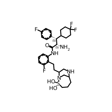 N[C@H](C(=O)Nc1cccc(F)c1CCC1CNC2CCCS(O)(O)N1C2)[C@H](c1ccc(F)cc1)C1CCC(F)(F)CC1